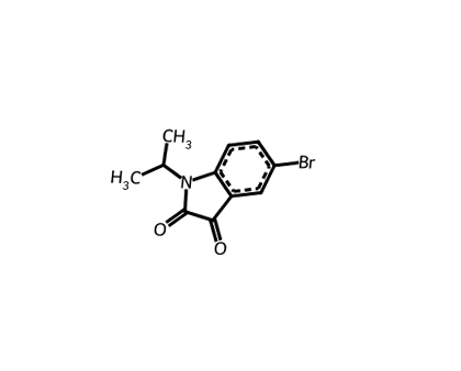 CC(C)N1C(=O)C(=O)c2cc(Br)ccc21